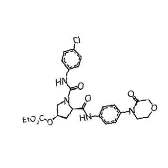 CCOC(=O)O[C@@H]1C[C@H](C(=O)Nc2ccc(N3CCOCC3=O)cc2)N(C(=O)Nc2ccc(Cl)cc2)C1